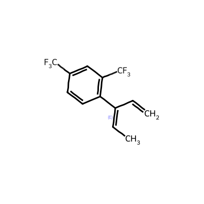 C=C/C(=C\C)c1ccc(C(F)(F)F)cc1C(F)(F)F